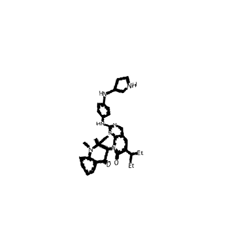 CCC(CC)c1cc2cnc(Nc3ccc(NC4CCNC4)cc3)nc2n(C2C(=O)c3ccccc3N(C)C2(C)C)c1=O